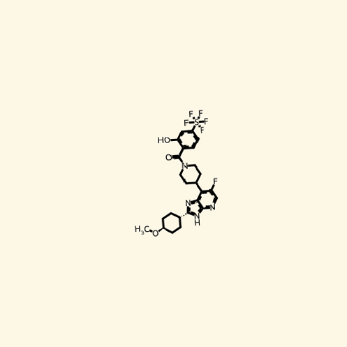 CO[C@H]1CC[C@H](c2nc3c(C4CCN(C(=O)c5ccc(S(F)(F)(F)(F)F)cc5O)CC4)c(F)cnc3[nH]2)CC1